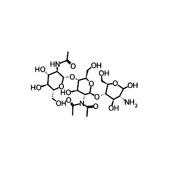 CC(=O)N[C@H]1[C@H](O[C@H]2[C@H](O)[C@@H](N(C(C)=O)C(C)=O)[C@H](O[C@H]3[C@H](O)[C@@H](N)C(O)O[C@@H]3CO)O[C@@H]2CO)O[C@H](CO)[C@@H](O)[C@@H]1O